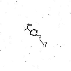 CC(c1ccc(OCC2CO2)cc1)C(C)(C)C